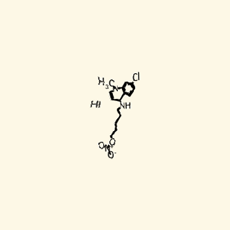 CN1C=CC(NCCCCCO[N+](=O)[O-])c2ccc(Cl)cc21.I